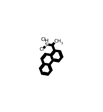 CC(c1cccc2c1ccc1ccccc12)[SiH](Cl)Cl